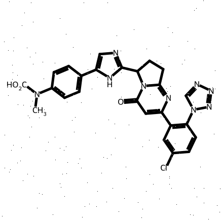 CN(C(=O)O)c1ccc(-c2cnc(C3CCc4nc(-c5cc(Cl)ccc5-n5cnnn5)cc(=O)n43)[nH]2)cc1